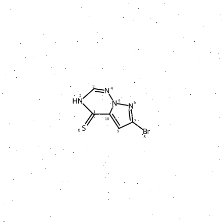 S=c1[nH]cnn2nc(Br)cc12